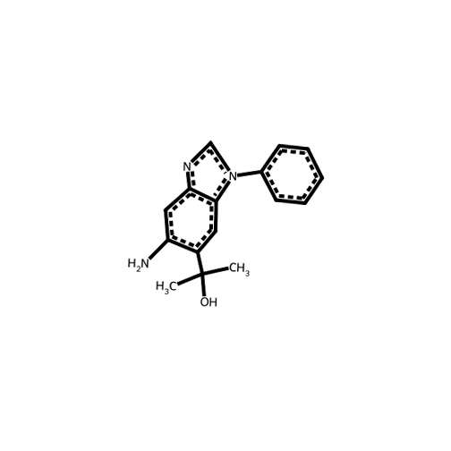 CC(C)(O)c1cc2c(cc1N)ncn2-c1ccccc1